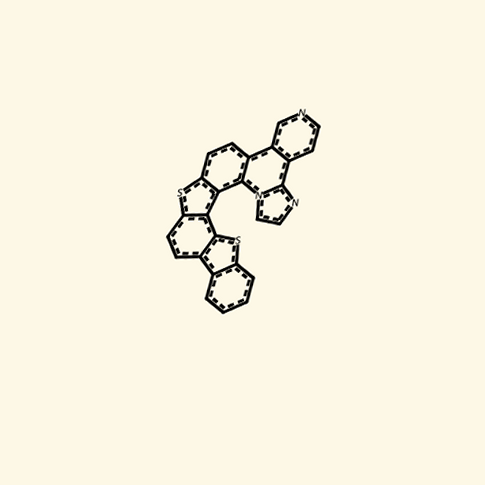 c1ccc2c(c1)sc1c2ccc2sc3ccc4c5cnccc5c5nccn5c4c3c21